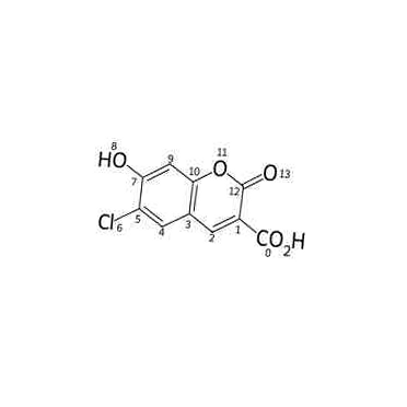 O=C(O)c1cc2cc(Cl)c(O)cc2oc1=O